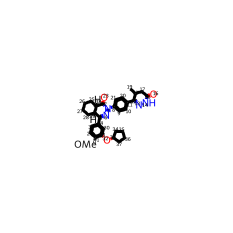 COc1ccc(C2=NN(c3ccc(C4=NNC(=O)CC4C)cc3)C(=O)[C@H]3CCCC[C@@H]23)cc1OC1CCCC1